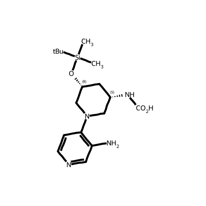 CC(C)(C)[Si](C)(C)O[C@@H]1C[C@H](NC(=O)O)CN(c2ccncc2N)C1